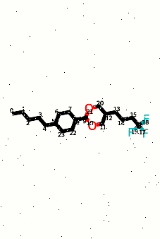 CCCCCC1CCC(C2OCC(CCCC(F)(F)F)CO2)CC1